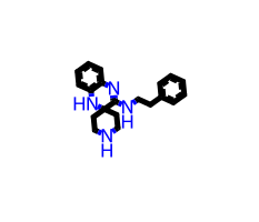 c1ccc(CCNC2=Nc3ccccc3NC23CCNCC3)cc1